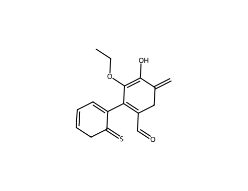 C=C1CC(C=O)=C(C2=CC=CCC2=S)C(OCC)=C1O